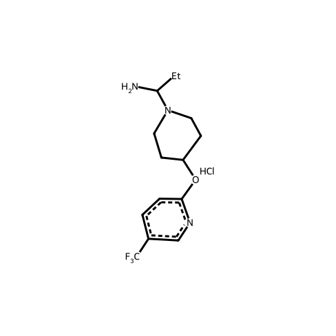 CCC(N)N1CCC(Oc2ccc(C(F)(F)F)cn2)CC1.Cl